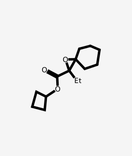 CCC1(C(=O)OC2CCC2)OC12CCCCC2